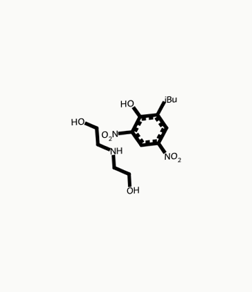 CCC(C)c1cc([N+](=O)[O-])cc([N+](=O)[O-])c1O.OCCNCCO